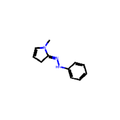 CN1C=CC/C1=N\Nc1ccccc1